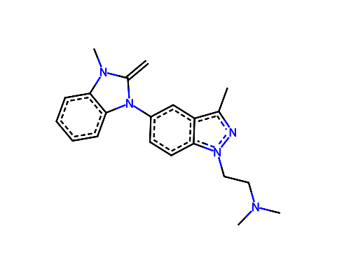 C=C1N(C)c2ccccc2N1c1ccc2c(c1)c(C)nn2CCN(C)C